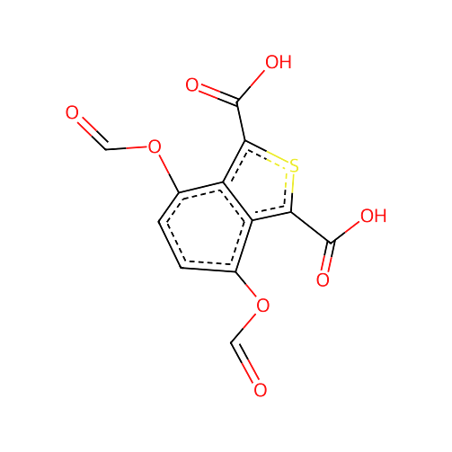 O=COc1ccc(OC=O)c2c(C(=O)O)sc(C(=O)O)c12